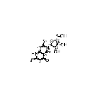 O=c1cc(F)[nH]c2nc(=S)n([C@@H]3O[C@H](CO)C(O)[C@@H]3O)cc12